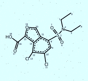 CCN(CC)S(=O)(=O)c1cc(Cl)c(Cl)c2c(C(=O)O)occ12